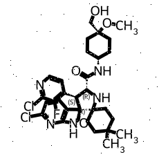 CO[C@]1(CO)CC[C@H](NC(=O)[C@@H]2NC3(CCC(C)(C)CC3)[C@@]3(C(=O)Nc4nc(Cl)ccc43)[C@H]2c2ccnc(Cl)c2F)CC1